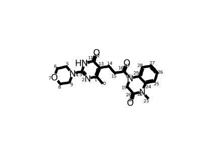 Cc1nc(N2CCOCC2)[nH]c(=O)c1CCC(=O)N1CC(=O)N(C)c2ccccc21